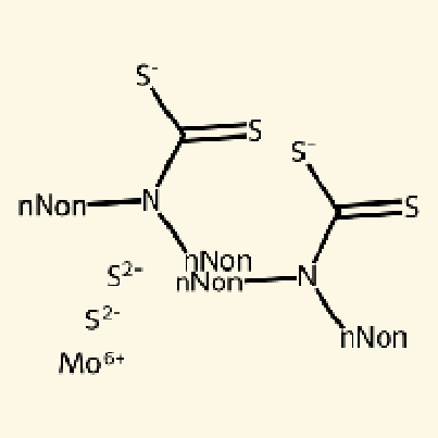 CCCCCCCCCN(CCCCCCCCC)C(=S)[S-].CCCCCCCCCN(CCCCCCCCC)C(=S)[S-].[Mo+6].[S-2].[S-2]